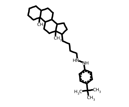 CC(C)(C)c1ccc(NNCCCCC2CCC3C4CCC5CCCCC5(C)C4CCC23C)cc1